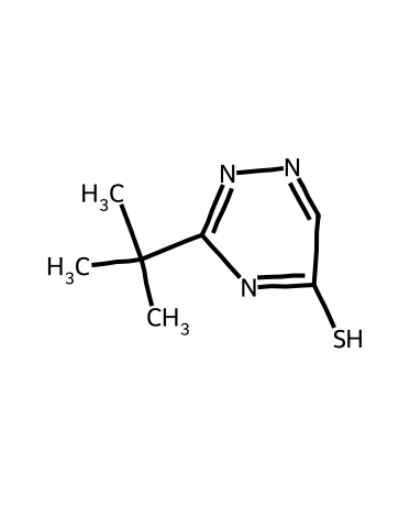 CC(C)(C)c1nncc(S)n1